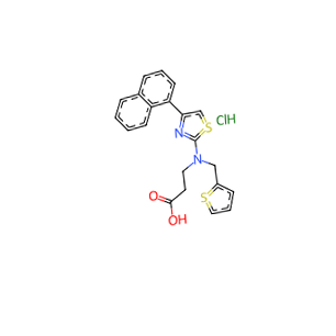 Cl.O=C(O)CCN(Cc1cccs1)c1nc(-c2cccc3ccccc23)cs1